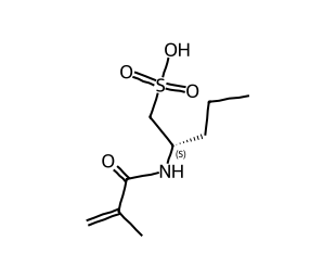 C=C(C)C(=O)N[C@@H](CCC)CS(=O)(=O)O